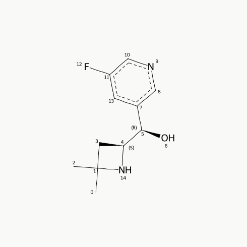 CC1(C)C[C@@H]([C@H](O)c2cncc(F)c2)N1